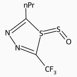 CCCC1=NN=C(C(F)(F)F)S1=S=O